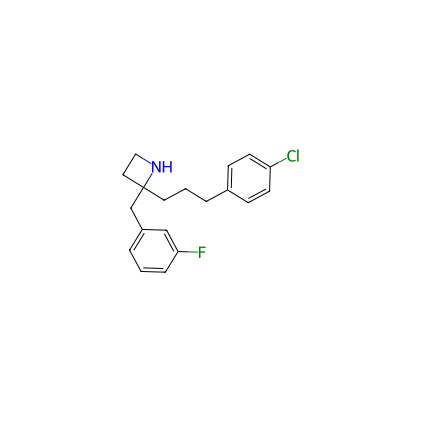 Fc1cccc(CC2(CCCc3ccc(Cl)cc3)CCN2)c1